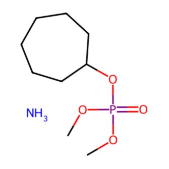 COP(=O)(OC)OC1CCCCCC1.N